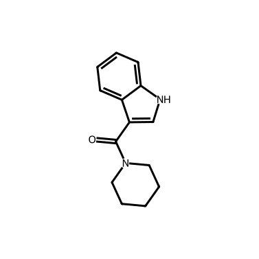 O=C(c1c[nH]c2ccccc12)N1CCCCC1